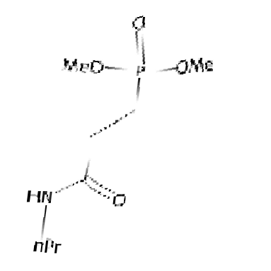 CCCNC(=O)CCP(=O)(OC)OC